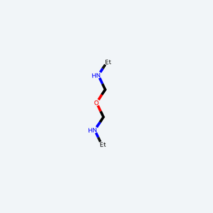 CCNCOCNCC